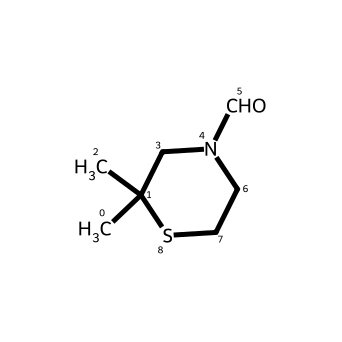 CC1(C)CN(C=O)CCS1